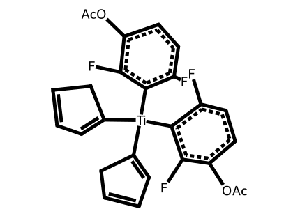 CC(=O)Oc1ccc(F)[c]([Ti]([C]2=CC=CC2)([C]2=CC=CC2)[c]2c(F)ccc(OC(C)=O)c2F)c1F